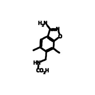 Cc1cc2c(N)noc2c(C)c1CNC(=O)O